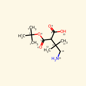 CC(C)(C)OC(=O)C(C(=O)O)C(C)(C)CN